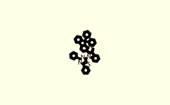 c1ccc(-c2nc(-n3c4ccccc4c4cnc5c6c(ccc5c43)-c3ccccc3C6(c3ccccc3)c3ccccc3)c3sc4ccccc4c3n2)cc1